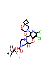 CC(C)(C)OC(=O)N1CCN2C(=O)c3c(N4CCOC5(CCC5)C4)nc(Cl)c(Cl)c3OC[C@H]2C1